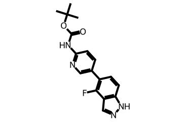 CC(C)(C)OC(=O)Nc1ccc(-c2ccc3[nH]ncc3c2F)cn1